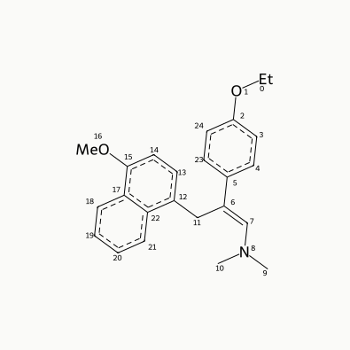 CCOc1ccc(/C(=C/N(C)C)Cc2ccc(OC)c3ccccc23)cc1